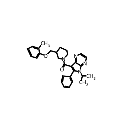 Cc1ccccc1OCC1CCCN(C(=O)c2c(-c3ccccc3)n(C(C)C)c3nccnc23)C1